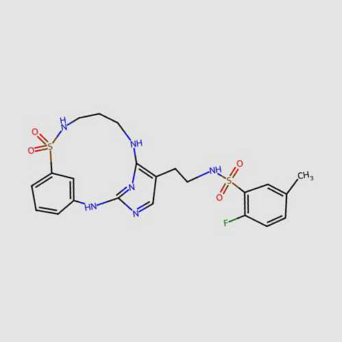 Cc1ccc(F)c(S(=O)(=O)NCCc2cnc3nc2NCCCNS(=O)(=O)c2cccc(c2)N3)c1